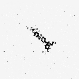 CSc1ccc2c(C3CCN(S(=O)(=O)c4ccc(OC(C)C)cc4)CC3)cn(CC=O)c2n1